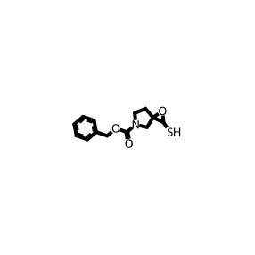 O=C(OCc1ccccc1)N1CCC2(C1)OC2S